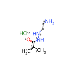 C=C(C)C(=O)NNCCN.Cl